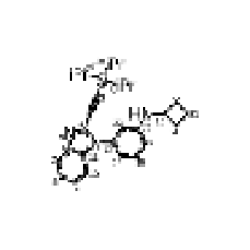 CC(C)[Si](C#Cc1nc2ccccc2n1-c1cccc(NC2CCC2)c1)(C(C)C)C(C)C